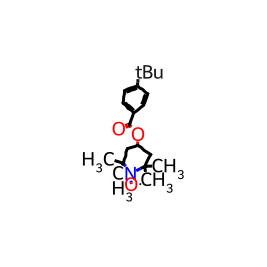 CC(C)(C)c1ccc(C(=O)OC2CC(C)(C)N([O])C(C)(C)C2)cc1